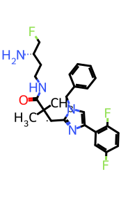 CC(C)([CH]c1nc(-c2cc(F)ccc2F)cn1Cc1ccccc1)C(=O)NCC[C@H](N)CF